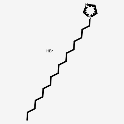 Br.CCCCCCCCCCCCCCCCCn1ccnc1